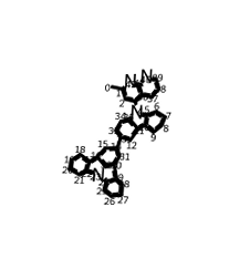 Cc1cc(-n2c3ccccc3c3cc(-c4cc5c6ccccc6n6c7ccccc7c(c4)c56)ccc32)c2cccnc2n1